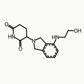 O=C1CCC(N2Cc3cccc(NCCO)c3C2)C(=O)N1